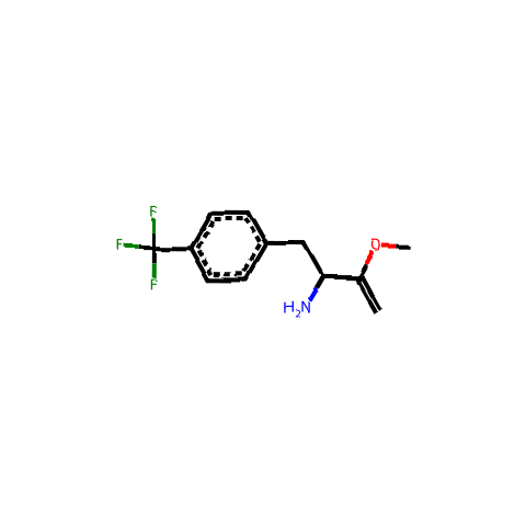 C=C(OC)C(N)Cc1ccc(C(F)(F)F)cc1